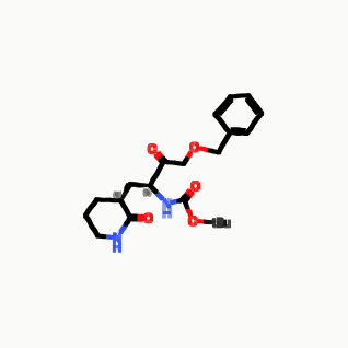 CC(C)(C)OC(=O)N[C@@H](C[C@@H]1CCCNC1=O)C(=O)COCc1ccccc1